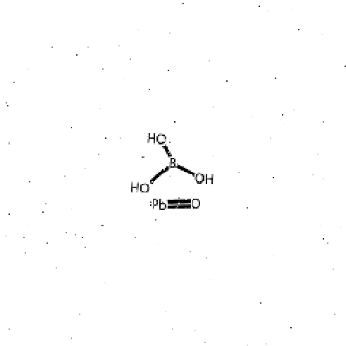 OB(O)O.[O]=[Pb]